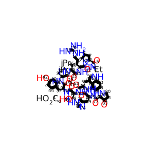 CC(=O)O.CCNC(=O)[C@@H]1CCCN1C(=O)[C@H](CCCNC(=N)N)NC(=O)[C@H](CC(C)C)NC(=O)[C@@H](CC(C)C)NC(=O)[C@H](Cc1ccc(O)cc1)NC(=O)[C@H](CO)NC(=O)[C@H](Cc1c[nH]c2ccccc12)NC(=O)[C@H](Cc1c[nH]cn1)NC(=O)[C@H]1NCCC1=O